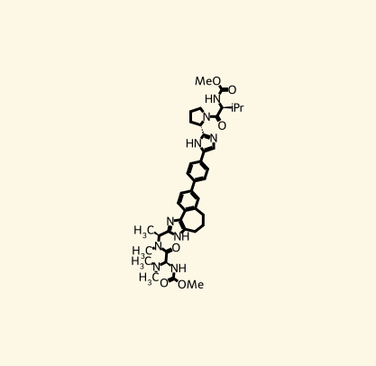 COC(=O)N[C@H](C(=O)N1CCC[C@H]1c1ncc(-c2ccc(-c3ccc4c(c3)CCCc3[nH]c([C@H](C)N(C)C(=O)[C@@H](NC(=O)OC)N(C)C)nc3-4)cc2)[nH]1)C(C)C